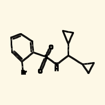 O=S(=O)(NC(C1CC1)C1CC1)c1ccccc1Br